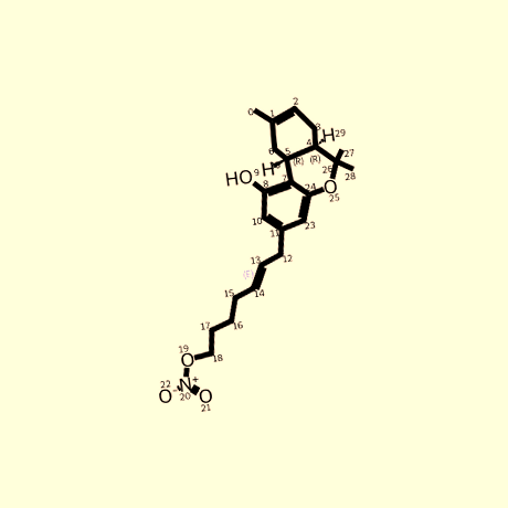 CC1=CC[C@@H]2[C@@H](C1)c1c(O)cc(C/C=C/CCCCO[N+](=O)[O-])cc1OC2(C)C